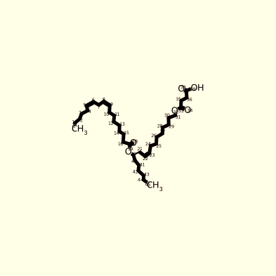 CCCCC/C=C\C/C=C\CCCCCCCC(=O)O[C@@H](C/C=C\CCCCCCCCOC(=O)CCC(=O)O)CCCCCC